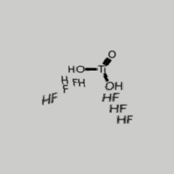 F.F.F.F.F.F.[O]=[Ti]([OH])[OH]